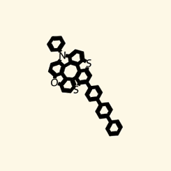 c1ccc(-c2ccc(-c3ccc(-c4cc5sc6ccc7c8c6c5c5c4sc4ccc6oc9ccc(c8c9c6c45)n7-c4ccccc4)cc3)cc2)cc1